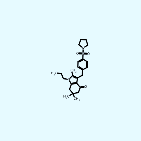 CCCn1c(C)c(Cc2ccc(S(=O)(=O)N3CCCC3)cc2)c2c1CC(C)(C)CC2=O